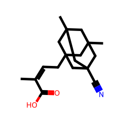 CC(=CCC12CC3(C)CC(C)(CC(C#N)(C3)C1)C2)C(=O)O